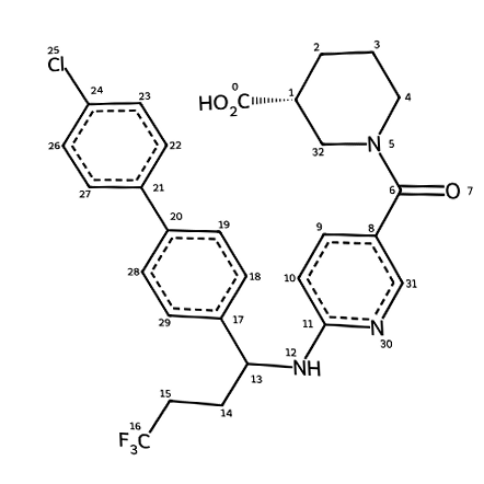 O=C(O)[C@@H]1CCCN(C(=O)c2ccc(NC(CCC(F)(F)F)c3ccc(-c4ccc(Cl)cc4)cc3)nc2)C1